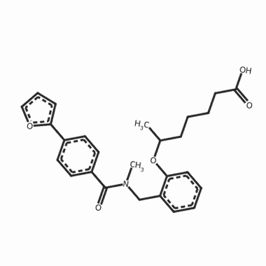 CC(CCCCC(=O)O)Oc1ccccc1CN(C)C(=O)c1ccc(-c2ccco2)cc1